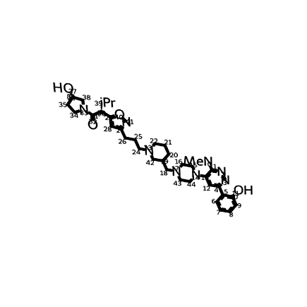 CNc1nnc(-c2ccccc2O)cc1N1CCN(CC2CCCN(CCCc3cc([C@H](C(=O)N4CC[C@@H](O)C4)C(C)C)on3)C2)CC1